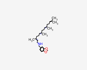 CC(C)=CCC/C(C)=C/CC/C(C)=C/CC/C(C)=C/CNCc1ccc2c(c1)OCO2